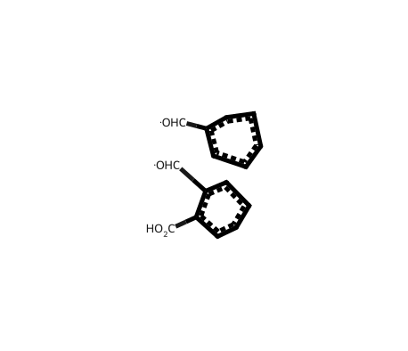 O=[C]c1ccccc1.O=[C]c1ccccc1C(=O)O